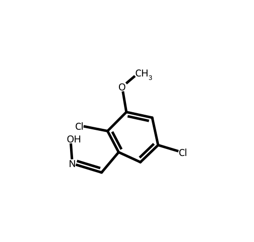 COc1cc(Cl)cc(/C=N\O)c1Cl